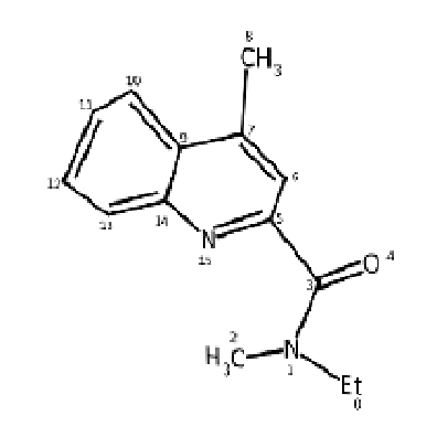 CCN(C)C(=O)c1cc(C)c2ccccc2n1